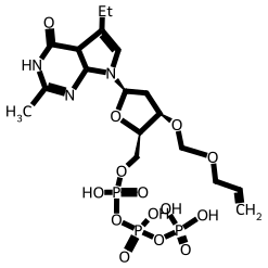 C=CCOCO[C@@H]1C[C@H](N2C=C(CC)C3C(=O)NC(C)=NC32)O[C@@H]1COP(=O)(O)OP(=O)(O)OP(=O)(O)O